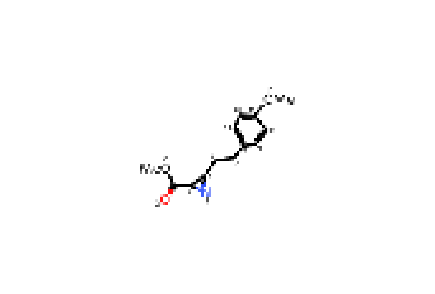 COC(=O)C1N=C1CCc1ccc(OC)cc1